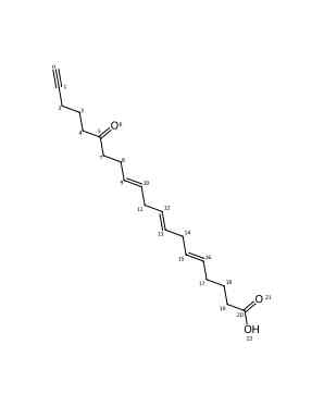 C#CCCCC(=O)CCC=CCC=CCC=CCCCC(=O)O